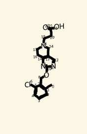 Cc1cccc(Cl)c1COc1ncc2c(n1)CCN(CCC(=O)O)C2